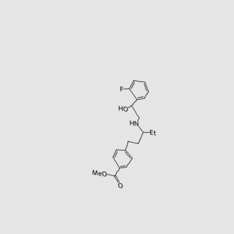 CCC(CCc1ccc(C(=O)OC)cc1)NCC(O)c1ccccc1F